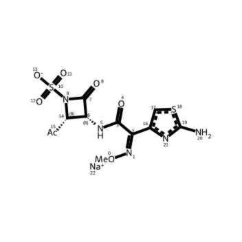 CON=C(C(=O)N[C@H]1C(=O)N(S(=O)(=O)[O-])[C@H]1C(C)=O)c1csc(N)n1.[Na+]